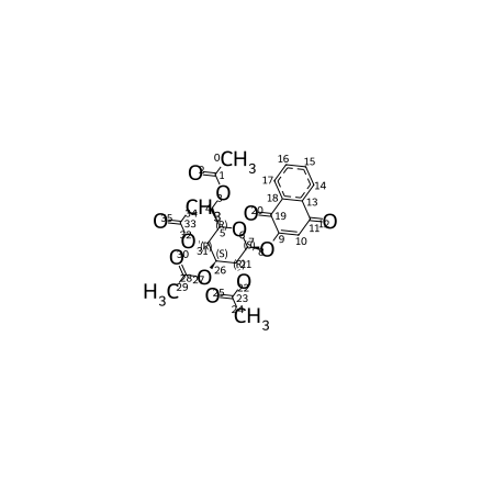 CC(=O)OC[C@H]1O[C@@H](OC2=CC(=O)c3ccccc3C2=O)[C@H](OC(C)=O)[C@@H](OC(C)=O)[C@@H]1OC(C)=O